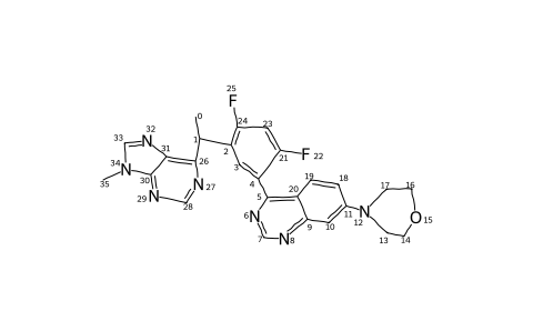 CC(c1cc(-c2ncnc3cc(N4CCOCC4)ccc23)c(F)cc1F)c1ncnc2c1ncn2C